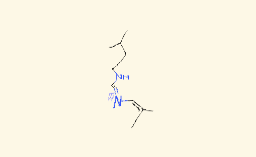 CC(C)=C/N=C\NCCC(C)C